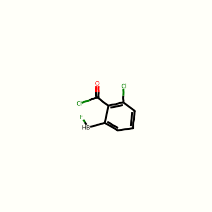 O=C(Cl)c1c(Cl)cccc1BF